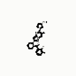 Cc1cn2nc([C@@H]3CCCCN3C(=O)c3cccc(C)c3Cl)cc2nc1N1CC[C@H](N)C1